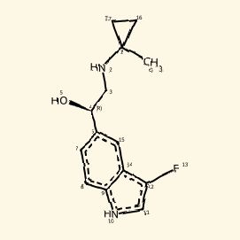 CC1(NC[C@H](O)c2ccc3[nH]cc(F)c3c2)CC1